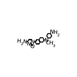 CN(C1CCc2cc(-n3ccc(N)nc3=O)ccc2C1)[C@H]1CC[C@H](N)CC1